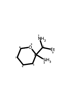 CCC(N)C1([SiH3])CCCCO1